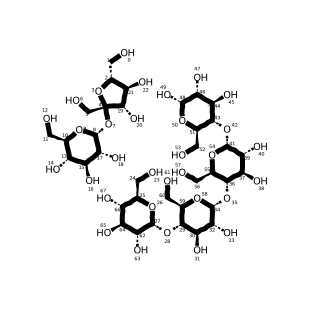 OC[C@H]1O[C@@](CO)(O[C@H]2O[C@H](CO)[C@@H](O)[C@H](O)[C@H]2O)[C@@H](O)[C@@H]1O.OC[C@H]1O[C@H](O[C@H]2[C@H](O)[C@@H](O)[C@@H](O[C@H]3[C@H](O)[C@@H](O)[C@@H](O[C@H]4[C@H](O)[C@@H](O)[C@@H](O)O[C@@H]4CO)O[C@@H]3CO)O[C@@H]2CO)[C@H](O)[C@@H](O)[C@@H]1O